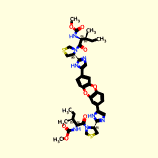 CC[C@H](C)[C@H](NC(=O)OC)C(=O)N1CSC[C@H]1c1ncc(-c2ccc3c(c2)Oc2ccc(-c4cnc([C@@H]5CSCN5C(=O)[C@@H](NC(=O)OC)[C@@H](C)CC)[nH]4)cc2O3)[nH]1